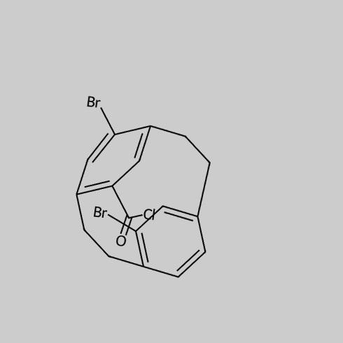 O=C(Cl)c1cc2c(Br)cc1CCc1ccc(cc1Br)CC2